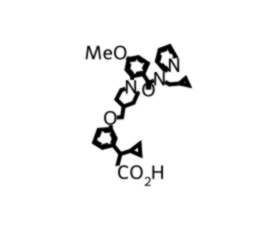 COc1ccc(C(=O)N(CC2CC2)c2ccccn2)c(N2CCC(COc3cccc(C(CC(=O)O)C4CC4)c3)CC2)c1